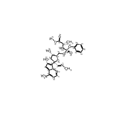 CN=C[C@@]1(c2ccc3c(N)ncnn23)O[C@H](COP(=O)(N[C@@H](C)C(=O)OC(C)C)Oc2ccccc2)[C@@H](O)[C@H]1O